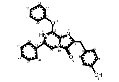 O=c1c(Cc2ccc(O)cc2)nc2c(Oc3ccccc3)[nH]c(-c3ccccc3)cn1-2